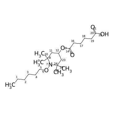 CCCCCCON1C(C)(C)CC(OC(=O)CCCCC(=O)O)CC1(C)C